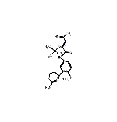 CC(=N)/C=C(\NC(C)(C)C)C(=O)Nc1ccc(F)c([C@]2(C)CCSC(N)=N2)c1